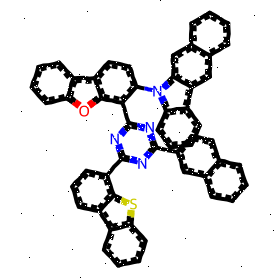 c1ccc2cc(-c3nc(-c4c(-n5c6ccccc6c6cc7ccccc7cc65)ccc5c4oc4ccccc45)nc(-c4cccc5c4sc4ccccc45)n3)ccc2c1